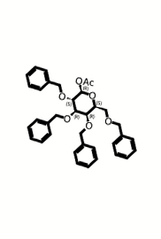 CC(=O)O[C@H]1O[C@@H](COCc2ccccc2)[C@@H](OCc2ccccc2)[C@@H](OCc2ccccc2)[C@@H]1OCc1ccccc1